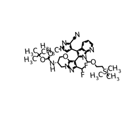 Cn1cc(-c2c(-c3c(C(F)F)nn4c3OC[C@@H](NC(=O)OC(C)(C)C)C4)n(COCC[Si](C)(C)C)c3ncccc23)c(C#N)n1